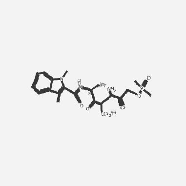 Cc1c(C(=O)N[C@H](C(=O)C(C(=O)O)C(N)C(=O)COP(C)(C)=O)C(C)C)n(C)c2ccccc12